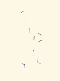 NC(=O)CCCCCc1ccc(F)c(OC[C@H](CCC(N)=O)NC=O)c1